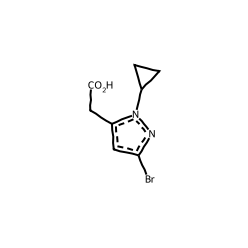 O=C(O)Cc1cc(Br)nn1C1CC1